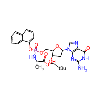 C[C@H](NP(=O)(OC[C@H]1O[C@@H](n2cnc3c(=O)[nH]c(N)nc32)CC1O)Oc1cccc2ccccc12)C(=O)OCC(C)(C)C